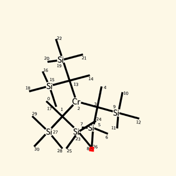 C[C]([Cr]([C](C)([Si](C)(C)C)[Si](C)(C)C)[C](C)([Si](C)(C)C)[Si](C)(C)C)([Si](C)(C)C)[Si](C)(C)C